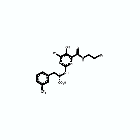 CC(C)CCNC(=O)c1nc(N[C@@H](Cc2cccc(C(F)(F)F)c2)C(=O)O)nc(O)c1O